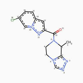 CC1c2nncn2CCN1C(=O)c1cc2ccc(Cl)cn2n1